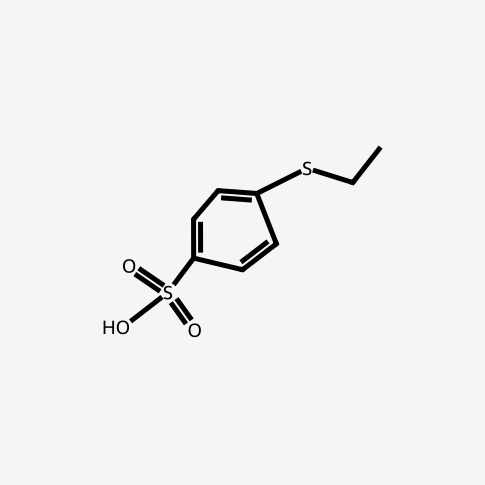 CCSc1ccc(S(=O)(=O)O)cc1